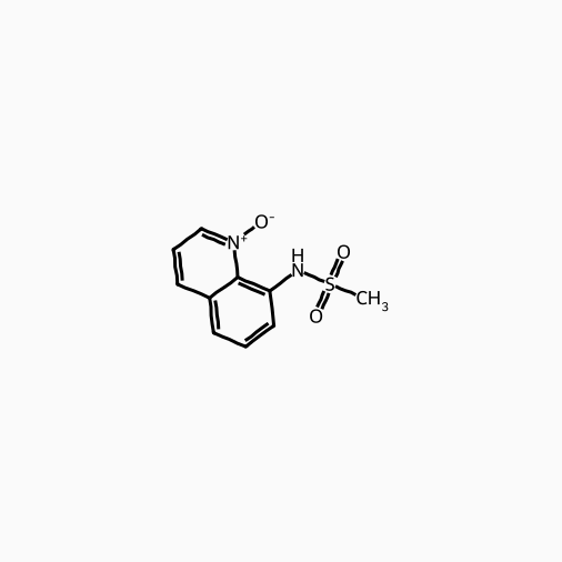 CS(=O)(=O)Nc1cccc2ccc[n+]([O-])c12